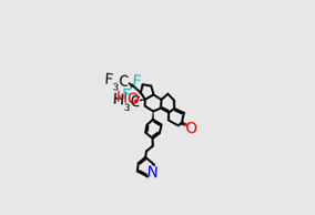 C[C@]12C[C@H](c3ccc(CCc4cccnc4)cc3)C3=C4CCC(=O)C=C4CCC3C1CC[C@@]2(O)C(F)(F)C(F)(F)F